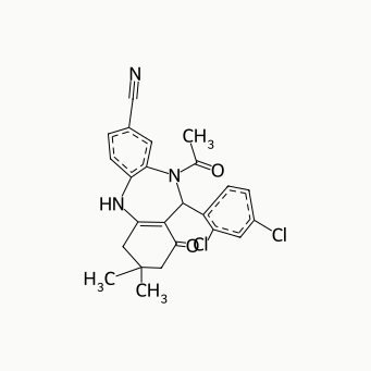 CC(=O)N1c2cc(C#N)ccc2NC2=C(C(=O)CC(C)(C)C2)C1c1ccc(Cl)cc1Cl